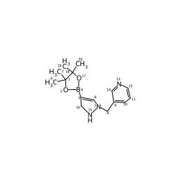 CC1(C)OB(C2=CN(Cc3cccnc3)NC2)OC1(C)C